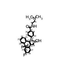 CN(C)CCNC(=O)c1ccc(-n2ncc(-c3ccc(F)cc3)c2-c2ccccc2C(F)(F)F)cc1.Cl